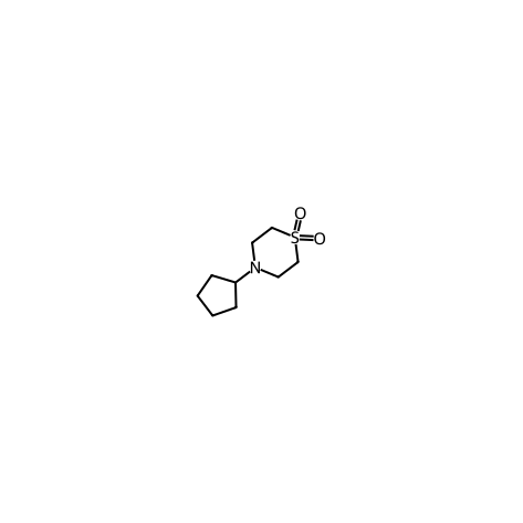 O=S1(=O)CCN(C2CCCC2)CC1